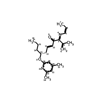 C=C(C)/C(=N\C=C/C)C(=O)/C=C/C[C@@H](CCC)Oc1cc(C)cc(C)n1